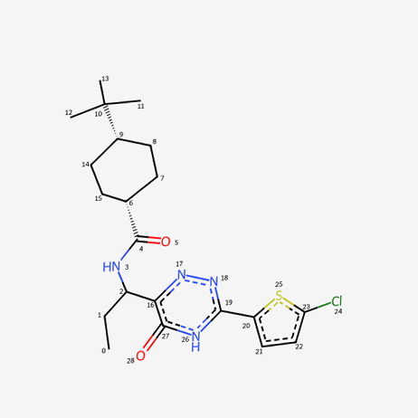 CCC(NC(=O)[C@H]1CC[C@@H](C(C)(C)C)CC1)c1nnc(-c2ccc(Cl)s2)[nH]c1=O